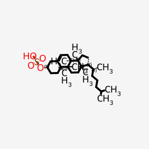 CC(C)CCC[C@@H](C)[C@H]1CC[C@@]2(C)[C@]3(C)CC=C4C[C@@H](OS(=O)(=O)O)CC[C@]4(C)[C@@]3(C)CC[C@]12C